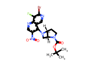 CC(C)(C)OC(=O)N1CC[C@@H]2[C@H]1CN2c1c([N+](=O)[O-])cnc2c(F)c(Br)ncc12